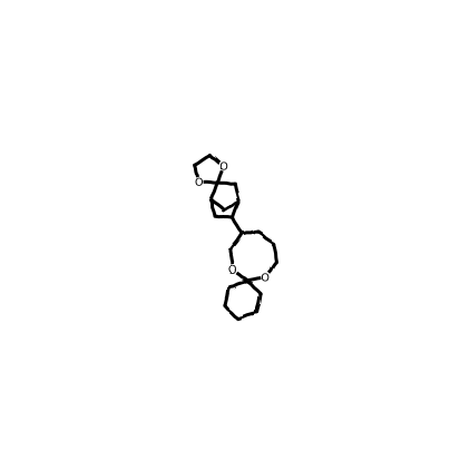 C1CCC2(CC1)OCCCC(C1CC3CC1CC31OCCO1)CO2